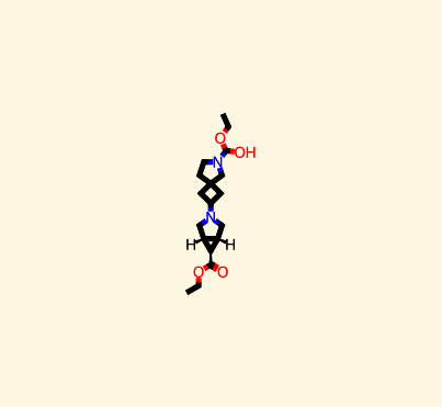 CCOC(=O)[C@H]1[C@@H]2CN(C3CC4(CCN(C(O)OCC)C4)C3)C[C@@H]21